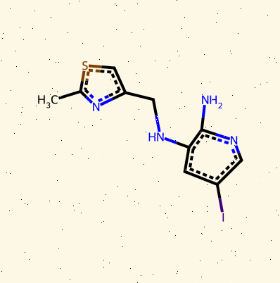 Cc1nc(CNc2cc(I)cnc2N)cs1